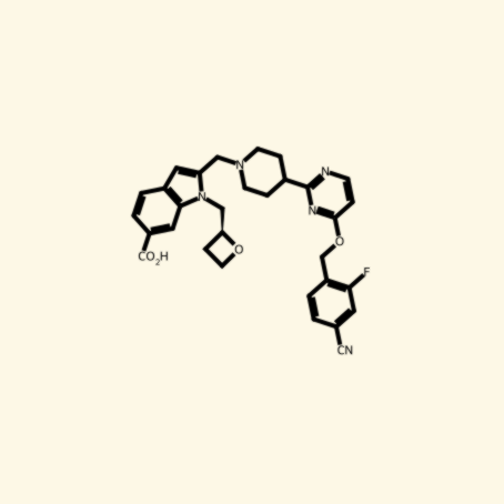 N#Cc1ccc(COc2ccnc(C3CCN(Cc4cc5ccc(C(=O)O)cc5n4C[C@@H]4CCO4)CC3)n2)c(F)c1